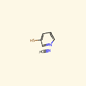 C#N.Sc1cccnc1